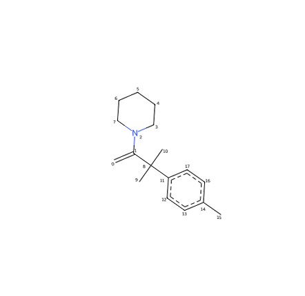 C=C(N1CCCCC1)C(C)(C)c1ccc(C)cc1